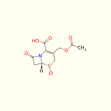 CC(=O)OCC1=C(C(=O)O)N2C(=O)C[C@H]2[S+]([O-])C1